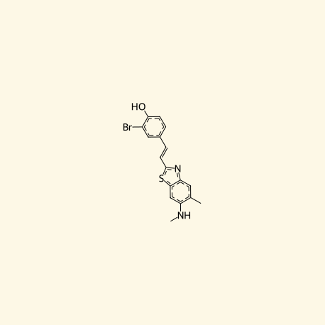 CNc1cc2sc(/C=C/c3ccc(O)c(Br)c3)nc2cc1C